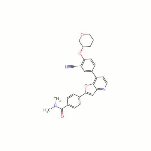 CN(C)C(=O)c1ccc(-c2cc3nccc(-c4ccc(O[C@@H]5CCCOC5)c(C#N)c4)c3o2)cc1